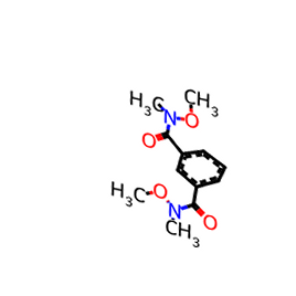 CON(C)C(=O)c1cccc(C(=O)N(C)OC)c1